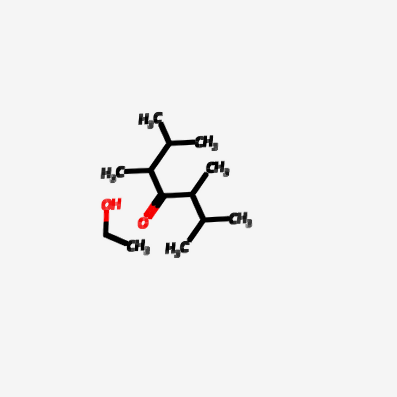 CC(C)C(C)C(=O)C(C)C(C)C.CCO